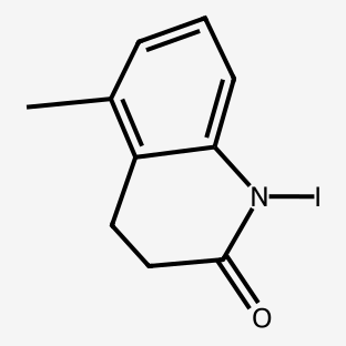 Cc1cccc2c1CCC(=O)N2I